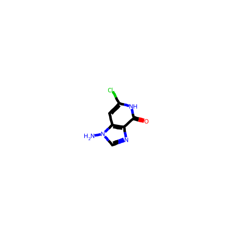 Nn1cnc2c(=O)[nH]c(Cl)cc21